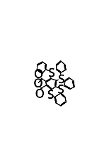 O=C1OC(=O)c2c(Sc3ccccc3)c(Sc3ccccc3)c(Sc3ccccc3)c(Sc3ccccc3)c21